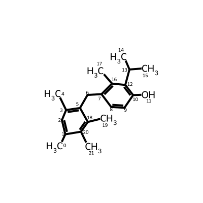 Cc1cc(C)c(Cc2ccc(O)c(C(C)C)c2C)c(C)c1C